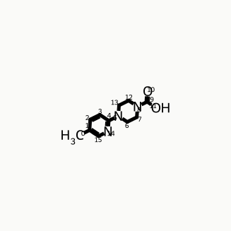 Cc1ccc(N2CCN(C(=O)O)CC2)nc1